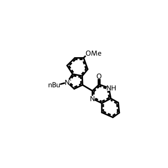 CCCCn1cc(-c2nc3ccccc3[nH]c2=O)c2cc(OC)ccc21